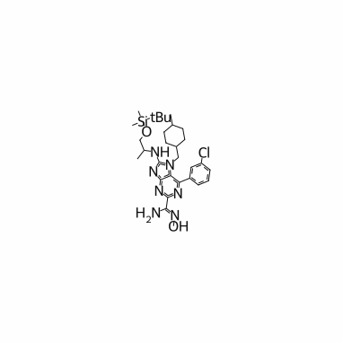 CC1CCC(Cn2c(NC(C)CO[Si](C)(C)C(C)(C)C)nc3nc(C(N)=NO)nc(-c4cccc(Cl)c4)c32)CC1